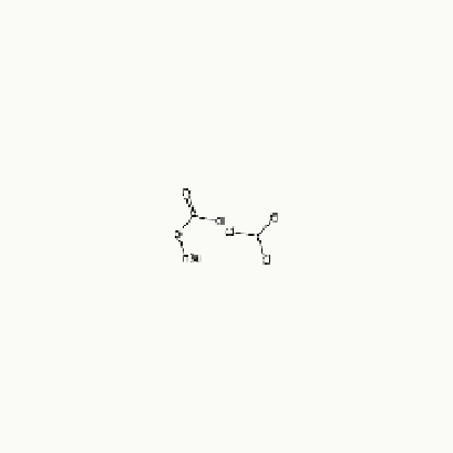 CCCCOC(=O)Cl.ClC(Cl)Cl